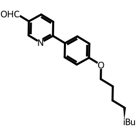 CC[C@H](C)CCCCOc1ccc(-c2ccc(C=O)cn2)cc1